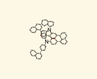 c1ccc2c(-c3ccc(N(c4ccc(-c5cccc6ccccc56)cc4)c4ccc(-c5cccc6cccc(-c7ccc8c9ccccc9n(-c9cccc%10ccccc9%10)c8c7)c56)cc4)cc3)cccc2c1